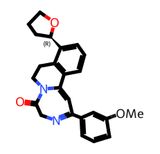 COc1cccc(C2=NCC(=O)N3CCc4c(cccc4[C@H]4CCCO4)C3=C2)c1